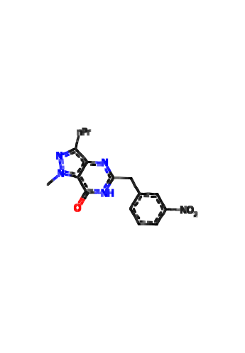 CCCc1nn(C)c2c(=O)[nH]c(Cc3cccc([N+](=O)[O-])c3)nc12